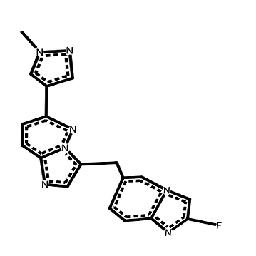 Cn1cc(-c2ccc3ncc(Cc4ccc5nc(F)cn5c4)n3n2)cn1